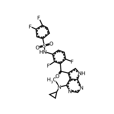 CN(c1ncnc2[nH]cc(C(=O)c3c(F)ccc(NS(=O)(=O)c4ccc(F)c(F)c4)c3F)c12)C1CC1